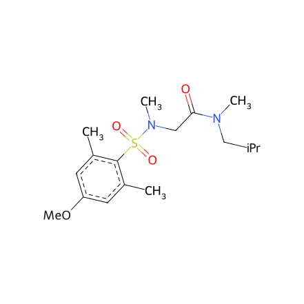 COc1cc(C)c(S(=O)(=O)N(C)CC(=O)N(C)CC(C)C)c(C)c1